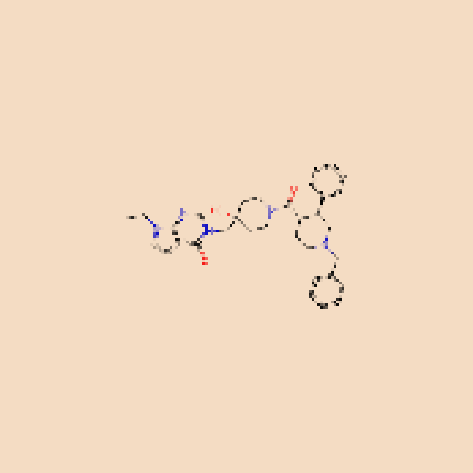 CCn1ccc2c(=O)n(CC3(O)CCN(C(=O)[C@H]4CCN(Cc5ccccc5)C[C@@H]4c4ccccc4)CC3)cnc21